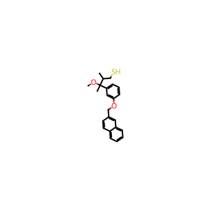 COC(C)(c1cccc(OCc2ccc3ccccc3c2)c1)C(C)CS